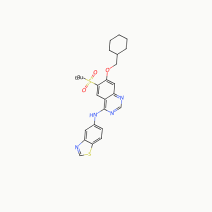 CC(C)(C)S(=O)(=O)c1cc2c(Nc3ccc4scnc4c3)ncnc2cc1OCC1CCCCC1